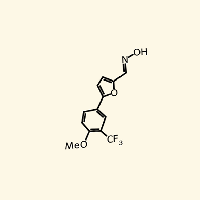 COc1ccc(-c2ccc(/C=N/O)o2)cc1C(F)(F)F